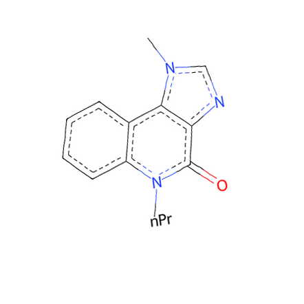 CCCn1c(=O)c2ncn(C)c2c2ccccc21